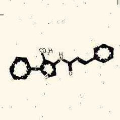 O=C(/C=C/c1ccccc1)Nc1csc(-c2ccccc2)c1C(=O)O